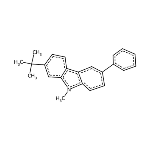 Cn1c2ccc(-c3ccccc3)cc2c2ccc(C(C)(C)C)cc21